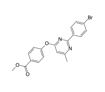 COC(=O)c1ccc(Oc2cc(C)nc(-c3ccc(Br)cc3)n2)cc1